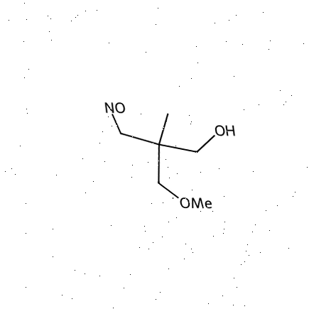 COCC(C)(CO)CN=O